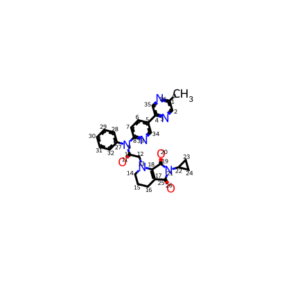 Cc1cnc(-c2ccc(N(C(=O)CN3CCCC4=C3C(=O)N(C3CC3)C4=O)c3ccccc3)nc2)cn1